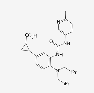 Cc1ccc(NC(=O)Nc2cc(C3CC3C(=O)O)ccc2N(CC(C)C)CC(C)C)cn1